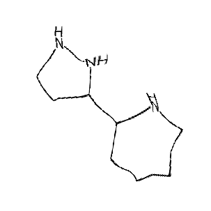 C1CCC(C2CCNN2)NC1